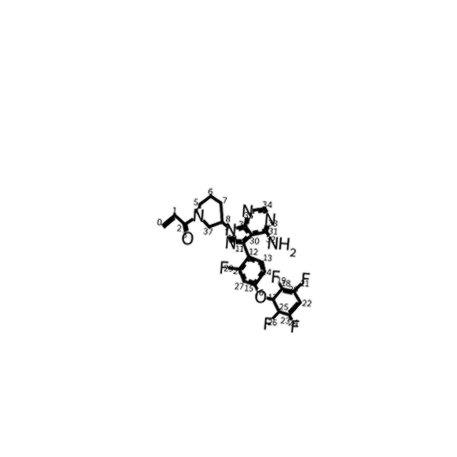 C=CC(=O)N1CCCC(n2nc(-c3ccc(OC4C(F)=C(F)C=C(F)C4F)cc3F)c3c(N)ncnc32)C1